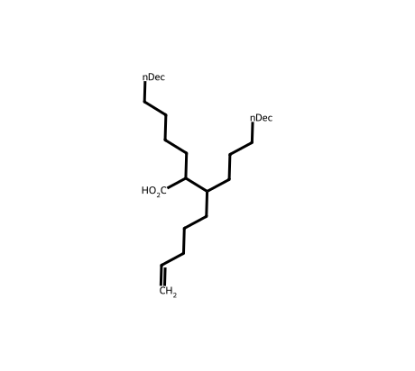 C=CCCCC(CCCCCCCCCCCCC)C(CCCCCCCCCCCCCC)C(=O)O